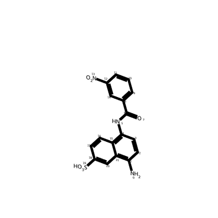 Nc1ccc(NC(=O)c2cccc([N+](=O)[O-])c2)c2ccc(S(=O)(=O)O)cc12